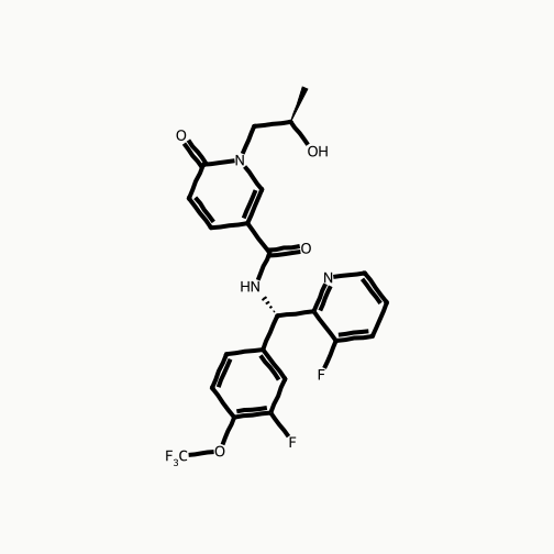 C[C@@H](O)Cn1cc(C(=O)N[C@@H](c2ccc(OC(F)(F)F)c(F)c2)c2ncccc2F)ccc1=O